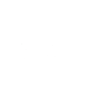 CC(C)(C)Oc1ccc(-c2ccccc2I)cc1.O=S(=O)(O)C(F)(F)F